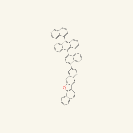 c1ccc2c(-c3c4ccccc4c(-c4ccc(-c5ccc6cc7c(cc6c5)oc5c6ccccc6ccc75)c5ccccc45)c4ccccc34)cccc2c1